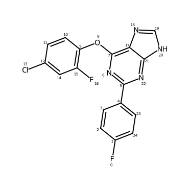 Fc1ccc(-c2nc(Oc3ccc(Cl)cc3F)c3nc[nH]c3n2)cc1